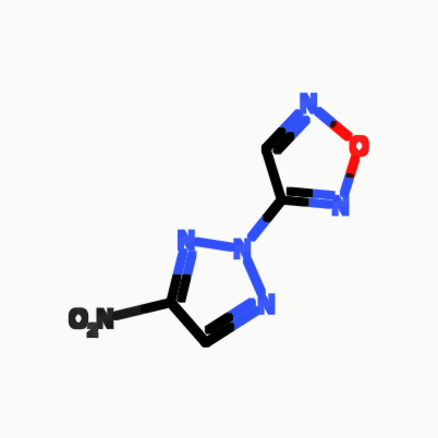 O=[N+]([O-])c1cnn(-c2cnon2)n1